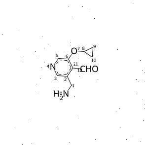 NCc1cncc(OC2CC2)c1C=O